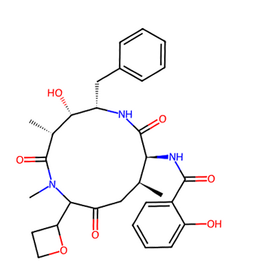 C[C@H]1CC(=O)C(C2CCO2)N(C)C(=O)[C@H](C)[C@H](O)[C@H](Cc2ccccc2)NC(=O)[C@H]1NC(=O)c1ccccc1O